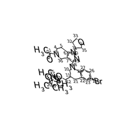 CC(=O)N1CCc2c(c(N3CC(CO[Si](C)(C)C(C)(C)C)Cc4cc(Br)ccc43)nn2[C@H]2CCOC2)C1